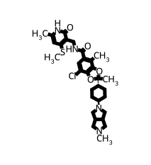 CSc1cc(C)[nH]c(=O)c1CNC(=O)c1cc(Cl)c2c(c1C)OC(C)([C@H]1CC[C@H](N3CC4CN(C)CC4C3)CC1)O2